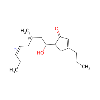 CC/C=C\C[C@H](C)CC(O)C1CC(CCC)=CC1=O